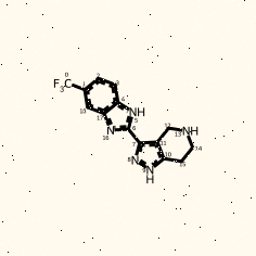 FC(F)(F)c1ccc2[nH]c(-c3n[nH]c4c3CNCC4)nc2c1